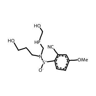 COc1ccc([S+]([O-])N(CCCO)CPCO)c(C#N)c1